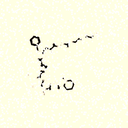 CCCO[C@H](C[C@H](C(C)C)N(CCC)C(=O)[C@@H](NC(=O)[C@H]1CCCCN1C)[C@@H](C)CC)c1nc(C(=O)N[C@@H](Cc2ccccc2)C[C@H](C)C(=O)NNC(=O)OCCOCCN)cs1